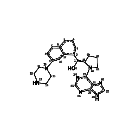 OC(c1cccc2ccc(N3CCNCC3)cc12)[C@H]1CCCN1c1ncnc2[nH]cnc12